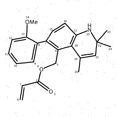 C=CC(=O)OCc1c(-c2ccccc2OC)ccc2c1C(C)=CC(C)(C)N2